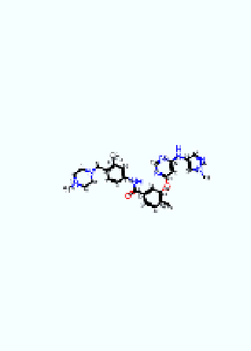 CCN1CCN(Cc2ccc(NC(=O)c3ccc(C)c(Oc4cc(Nc5cnn(C)c5)ncn4)c3)cc2C(F)(F)F)CC1